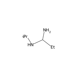 CCC(N)N[C](C)C